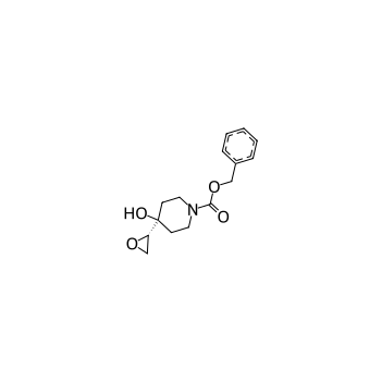 O=C(OCc1ccccc1)N1CCC(O)([C@@H]2CO2)CC1